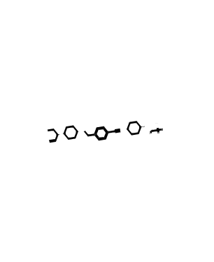 C=CC(CC)[C@H]1CC[C@H](CCc2ccc(C#C[C@H]3CC[C@H](OC(F)C(F)(F)F)CC3)cc2)CC1